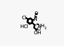 Cl.NC[C@H](CC(=O)O)c1ccc(Cl)cc1N=C=O